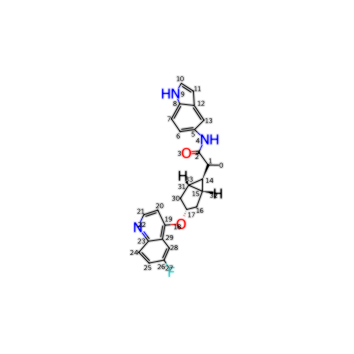 CC(C(=O)Nc1ccc2[nH]ccc2c1)[C@H]1[C@@H]2C[C@H](Oc3ccnc4ccc(F)cc34)C[C@@H]21